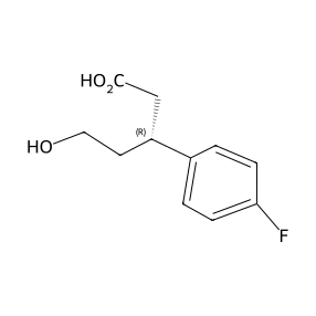 O=C(O)C[C@@H](CCO)c1ccc(F)cc1